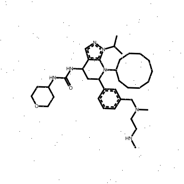 CNCCN(C)Cc1cccc(C2CC(NC(=O)NC3CCOCC3)c3cnn(C(C)C)c3N2C2CCCCCCCCC2)c1